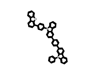 c1ccc(-n2c3ccccc3c3ccc(-c4ccc(-c5ccc6c(c5)c5ccccc5n6-c5ccc(-c6cccc7c6oc6ccccc67)cc5)cc4)cc32)cc1